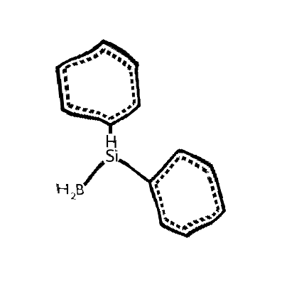 B[SiH](c1ccccc1)c1ccccc1